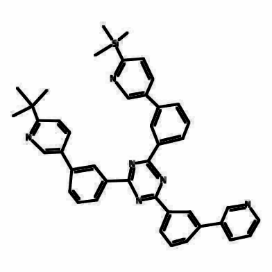 CC(C)(C)c1ccc(-c2cccc(-c3nc(-c4cccc(-c5cccnc5)c4)nc(-c4cccc(-c5ccc([Si](C)(C)C)nc5)c4)n3)c2)cn1